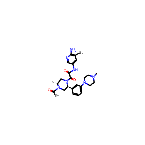 CCc1cc(NC(=O)C(=O)N2C[C@@H](C)N(C(=O)C(C)C)C[C@@H]2c2cccc(N3CCN(C)CC3)c2)cnc1N